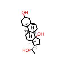 CC(O)[C@H]1CCC2(O)[C@@H]3CC=C4CC(O)CC[C@]4(C)[C@H]3CC[C@]12C